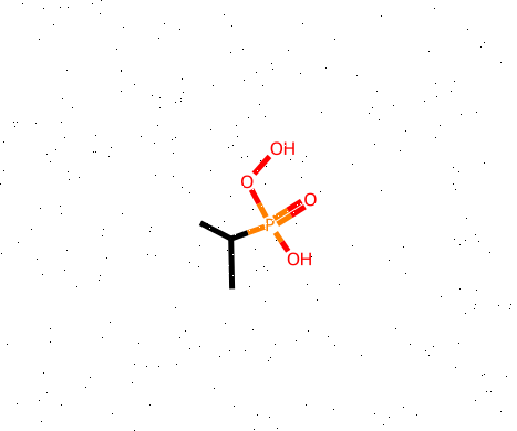 CC(C)P(=O)(O)OO